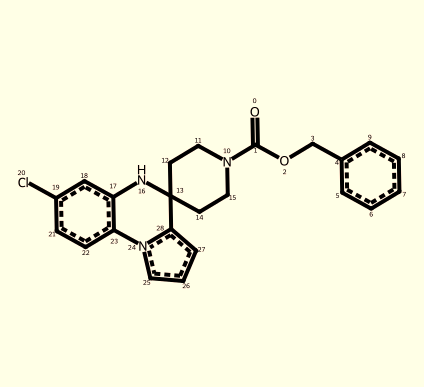 O=C(OCc1ccccc1)N1CCC2(CC1)Nc1cc(Cl)ccc1-n1cccc12